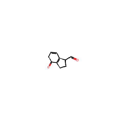 O=[C]C1CCC2=C1C=CCC2=O